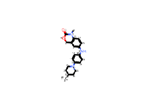 CN1C(=O)OCc2cc(Nc3ccc(N4CCC(C(F)(F)F)CC4)cc3)ccc21